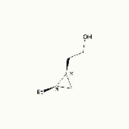 CC[C@@H]1C[C@@H]1CCO